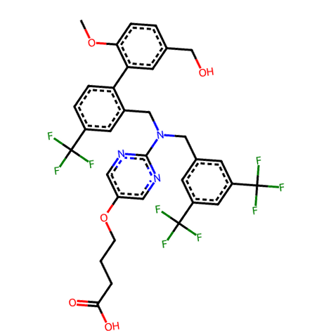 COc1ccc(CO)cc1-c1ccc(C(F)(F)F)cc1CN(Cc1cc(C(F)(F)F)cc(C(F)(F)F)c1)c1ncc(OCCCC(=O)O)cn1